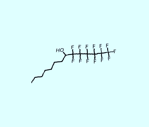 CCCCCCCC(O)C(F)(F)C(F)(F)C(F)(F)C(F)(F)C(F)(F)C(F)(F)F